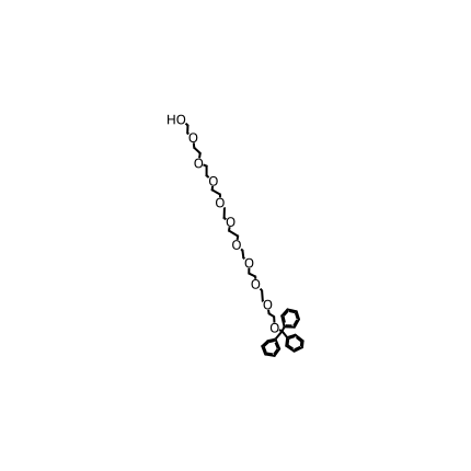 OCCOCCOCCOCCOCCOCCOCCOCCOCCOCCOC(c1ccccc1)(c1ccccc1)c1ccccc1